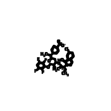 C=C(NC(CC(=O)N(C)c1ccc([N+](=O)[O-])cc1)C(=O)COc1c(F)c(F)cc(F)c1F)[C@H](CC)n1ccc2ccc(Cl)cc2c1=O